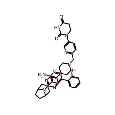 Nc1nnc(-c2ccccc2O)cc1N1CC2CCC(C1)N2c1ncc(C2CCN(Cc3ccc(N4CCC(=O)NC4=O)cn3)CC2)cn1